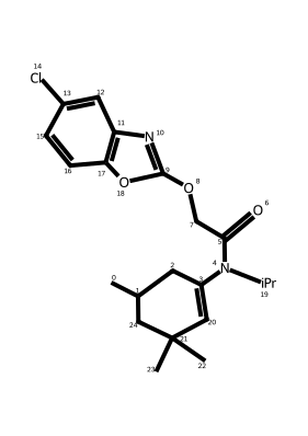 CC1CC(N(C(=O)COc2nc3cc(Cl)ccc3o2)C(C)C)=CC(C)(C)C1